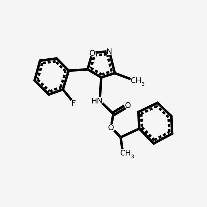 Cc1noc(-c2ccccc2F)c1NC(=O)OC(C)c1ccccc1